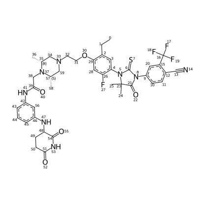 CCc1cc(N2C(=S)N(c3ccc(C#N)c(C(F)(F)F)c3)C(=O)C2(C)C)c(F)cc1OCCN1C[C@@H](C)N(CC(=O)Nc2cccc(NC3CCC(=O)NC3=O)c2)[C@@H](C)C1